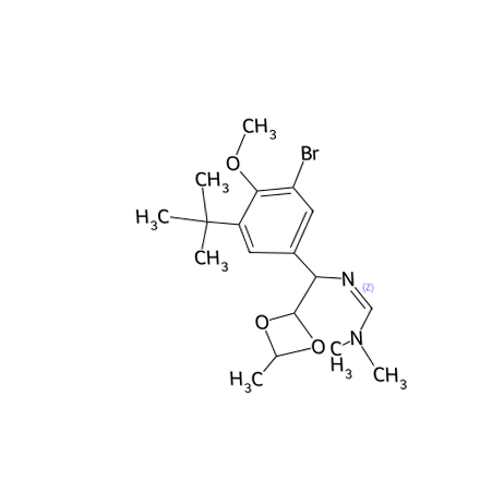 COc1c(Br)cc(C(/N=C\N(C)C)C2OC(C)O2)cc1C(C)(C)C